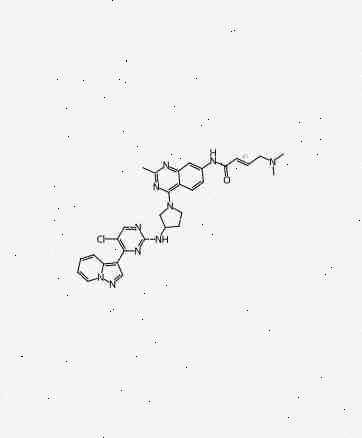 Cc1nc(N2CCC(Nc3ncc(Cl)c(-c4cnn5ccccc45)n3)C2)c2ccc(NC(=O)/C=C/CN(C)C)cc2n1